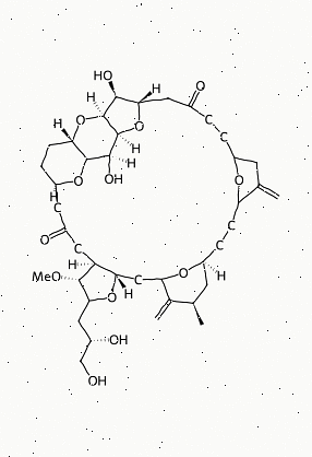 C=C1CC2CCC(=O)C[C@@H]3O[C@@H]4[C@@H](O[C@H]5CC[C@H](CC(=O)C[C@H]6[C@H](CC7O[C@@H](CCC1O2)C[C@@H](C)C7=C)OC(C[C@H](O)CO)[C@@H]6OC)OC5[C@@H]4O)[C@H]3O